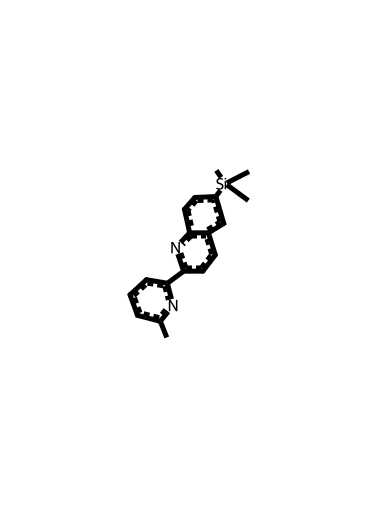 Cc1cccc(-c2ccc3cc([Si](C)(C)C)ccc3n2)n1